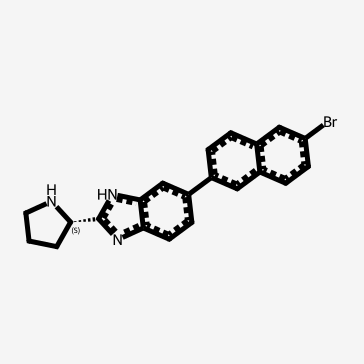 Brc1ccc2cc(-c3ccc4nc([C@@H]5CCCN5)[nH]c4c3)ccc2c1